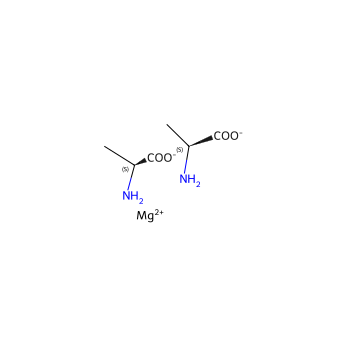 C[C@H](N)C(=O)[O-].C[C@H](N)C(=O)[O-].[Mg+2]